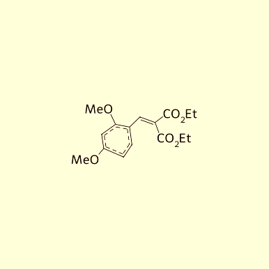 CCOC(=O)C(=Cc1ccc(OC)cc1OC)C(=O)OCC